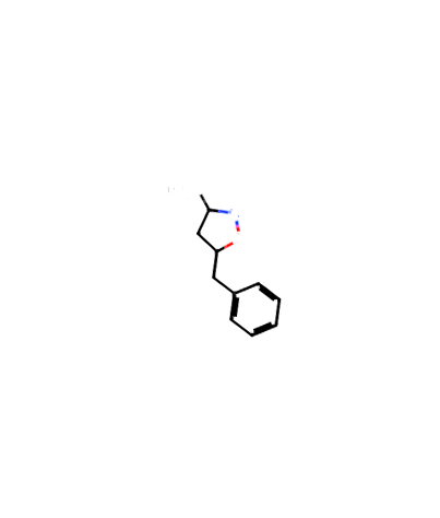 CCOC(=O)C1CC(Cc2ccccc2)ON1